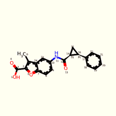 Cc1c(C(=O)O)oc2ccc(NC(=O)[C@H]3C[C@H]3c3ccccc3)cc12